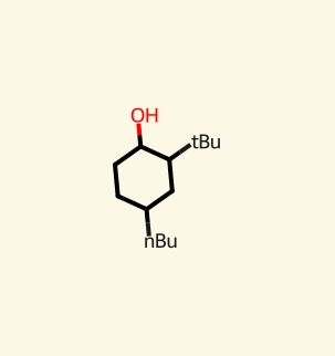 CCCCC1CCC(O)C(C(C)(C)C)C1